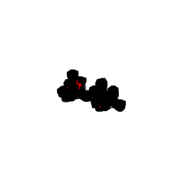 c1ccc(-c2cc(-c3ccc4oc5cccc(-c6ccc7c(c6)c6ccccc6n7-c6ccccc6)c5c4c3)nc(-c3cccc(-c4ccc5c(c4)c4c(-c6cccc7oc8ccc(-c9nc(-c%10ccccc%10)cc(-c%10ccccc%10)n9)cc8c67)cccc4n5-c4ccccc4)c3)n2)cc1